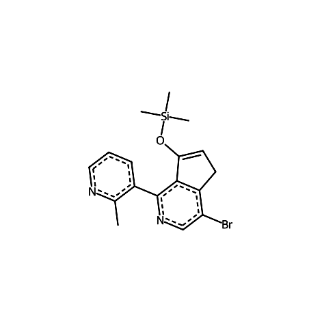 Cc1ncccc1-c1ncc(Br)c2c1C(O[Si](C)(C)C)=CC2